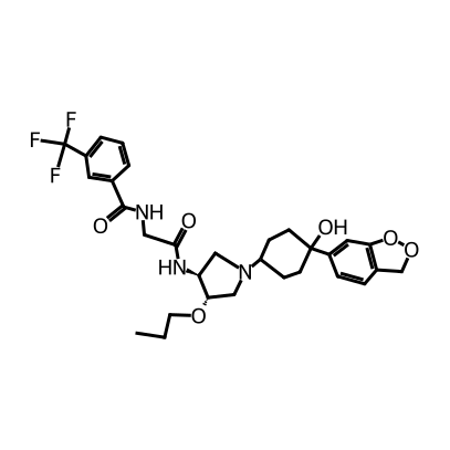 CCCO[C@H]1CN(C2CCC(O)(c3ccc4c(c3)OOC4)CC2)C[C@@H]1NC(=O)CNC(=O)c1cccc(C(F)(F)F)c1